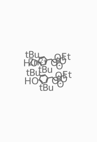 CCOP(=O)([O-])OCc1cc(C(C)(C)C)c(O)c(C(C)(C)C)c1.CCOP(=O)([O-])OCc1cc(C(C)(C)C)c(O)c(C(C)(C)C)c1.[Zn+2]